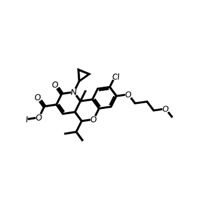 COCCCOc1cc2c(cc1Cl)C1(C)C(C=C(C(=O)OI)C(=O)N1C1CC1)C(C(C)C)O2